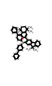 CC1(C)CCC(C)(C)c2cc(-c3cc4c(cc3N(c3ccc(-c5ccccc5)cc3)c3ccc(-c5ccccc5)cc3)C(C)(C)c3ccccc3-4)ccc21